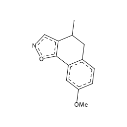 COc1ccc2c(c1)-c1oncc1C(C)C2